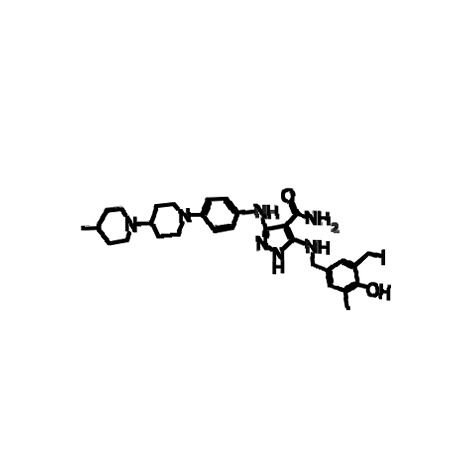 Cc1cc(CNc2[nH]nc(Nc3ccc(N4CCC(N5CCC(C)CC5)CC4)cc3)c2C(N)=O)cc(CI)c1O